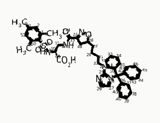 Cc1cc(C)c(S(=O)(=O)N[C@@H](CNC(=O)C2=NOC(CCCCNc3nccn3C(c3ccccc3)(c3ccccc3)c3ccccc3)C2)C(=O)O)c(C)c1